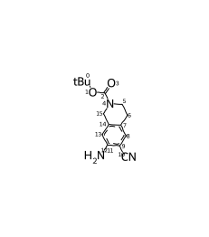 CC(C)(C)OC(=O)N1CCc2cc(C#N)c(N)cc2C1